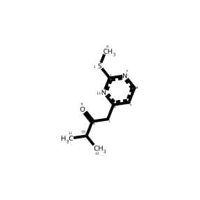 CSc1nccc(CC(=O)C(C)C)n1